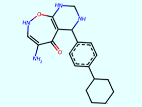 NC1=CNOC2=C(C1=O)C(c1ccc(C3CC[CH]CC3)cc1)NCN2